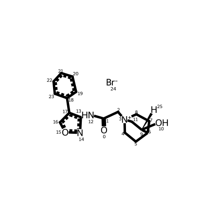 O=C(C[N+]12CCC(CC1)[C@@H](O)C2)Nc1nocc1-c1ccccc1.[Br-]